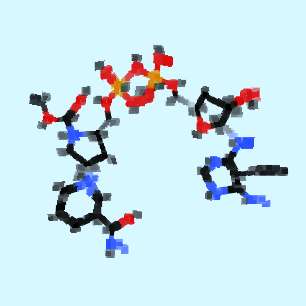 CNc1c(N)ncnc1N[C@@H]1O[C@H](COP(=O)(O)OP(=O)(O)OC[C@@H]2C[C@H]([n+]3cccc(C(N)=O)c3)CN2C(=O)OC(C)(C)C)C[C@H]1O